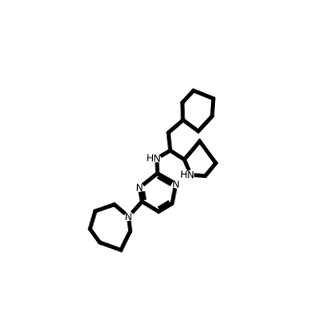 c1cc(N2CCCCCC2)nc(NC(CC2CCCCC2)C2CCCN2)n1